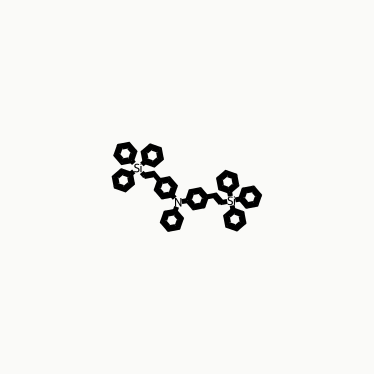 C(=C\[Si](c1ccccc1)(c1ccccc1)c1ccccc1)/c1ccc(N(c2ccccc2)c2ccc(/C=C/[Si](c3ccccc3)(c3ccccc3)c3ccccc3)cc2)cc1